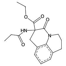 CCOC(=O)C1(NC(=O)CC)Cc2cccc3c2N(CCC3)C1=O